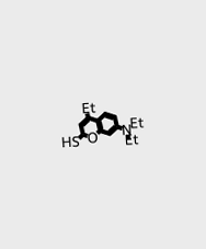 CCC1=CC(S)Oc2cc(N(CC)CC)ccc21